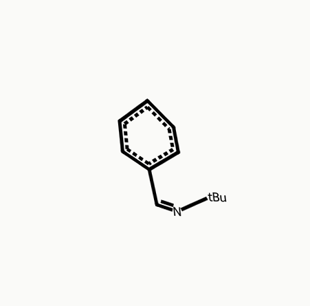 CC(C)(C)/N=C\c1ccccc1